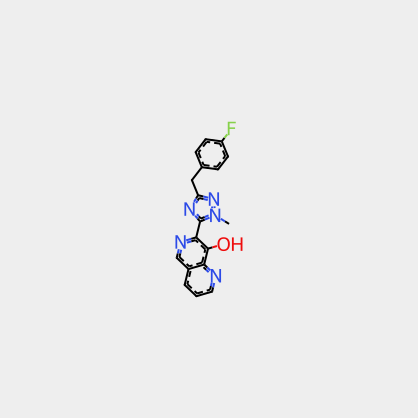 Cn1nc(Cc2ccc(F)cc2)nc1-c1ncc2cccnc2c1O